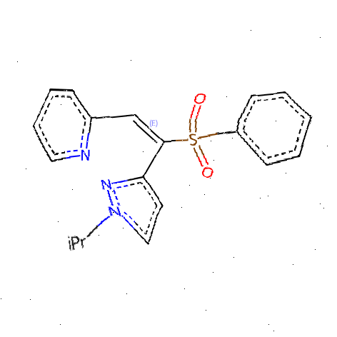 CC(C)n1ccc(/C(=C\c2ccccn2)S(=O)(=O)c2ccccc2)n1